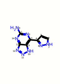 Nc1nc(-c2cc[nH]n2)c2[nH]nnc2n1